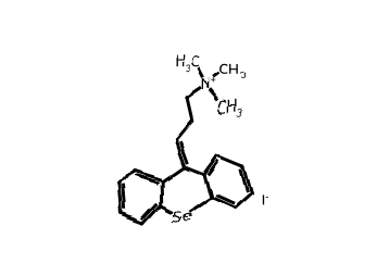 C[N+](C)(C)CCC=C1c2ccccc2[Se]c2ccccc21.[I-]